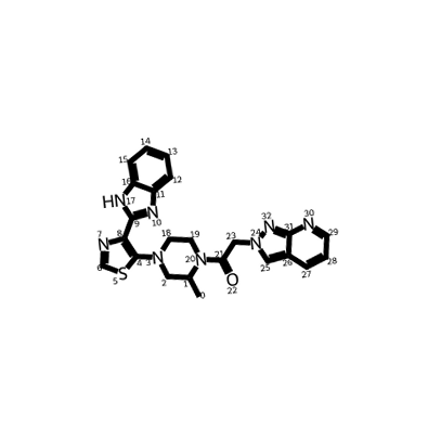 CC1CN(c2scnc2-c2nc3ccccc3[nH]2)CCN1C(=O)Cn1cc2cccnc2n1